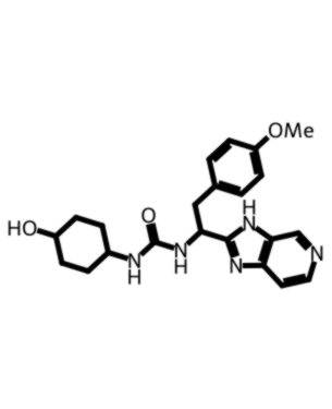 COc1ccc(CC(NC(=O)NC2CCC(O)CC2)c2nc3ccncc3[nH]2)cc1